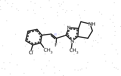 Cc1c(Cl)cccc1/C=C(\F)c1nc2c(n1C)CCNC2